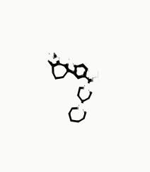 Cl.O=C(c1ccc2[nH]c3c(c2c1)CCCc1cn[nH]c1-3)N1CCC(N2CCCCCC2)CC1